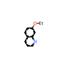 CCOc1ccc2cccnc2c1